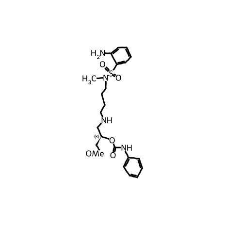 COC[C@@H](CNCCCCN(C)S(=O)(=O)c1ccccc1N)OC(=O)Nc1ccccc1